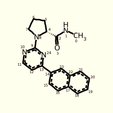 CNC(=O)[C@H]1CCCN1c1nccc(-c2ccc3ccccc3c2)n1